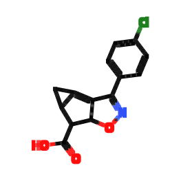 O=C(O)C1C2CC2=C2C(c3ccc(Cl)cc3)=NOC21